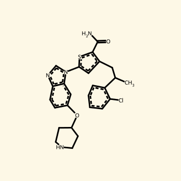 CC(Cc1cc(-n2cnc3ccc(OC4CCNCC4)cc32)sc1C(N)=O)c1ccccc1Cl